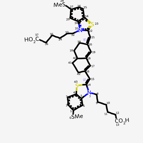 CSc1ccc2c(c1)N(CCCCCC(=O)O)/C(=C/C1=CC3=C/C(=C/c4sc5ccc(SC)cc5[n+]4CCCCCC(=O)O)CCC3CC1)S2